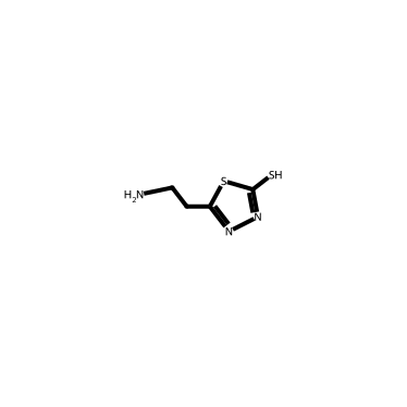 NCCc1nnc(S)s1